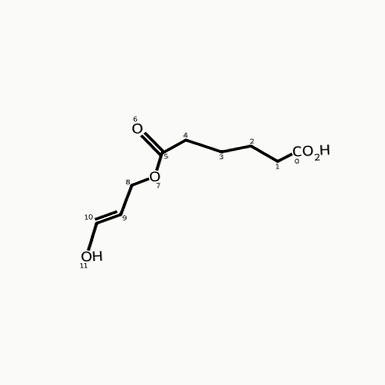 O=C(O)CCCCC(=O)OCC=CO